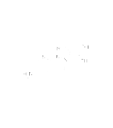 CC(O)c1cnn(-c2ncc(N)cc2C(F)F)n1